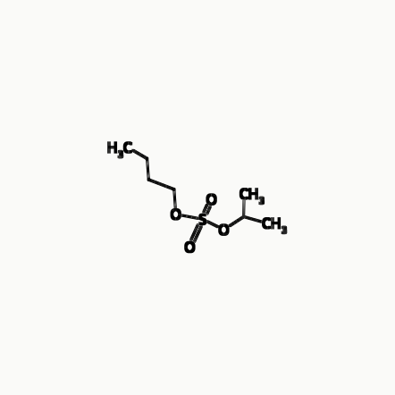 CCCCOS(=O)(=O)OC(C)C